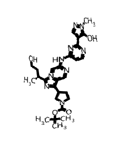 C[C@@H](CCO)c1nc(C2CCN(C(=O)OC(C)(C)C)C2)c2cnc(Nc3ccnc(-c4cnn(C)c4O)n3)cn12